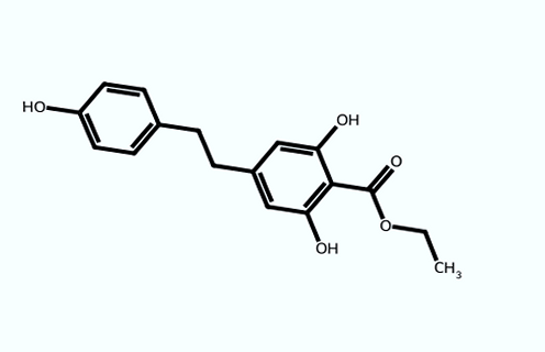 CCOC(=O)c1c(O)cc(CCc2ccc(O)cc2)cc1O